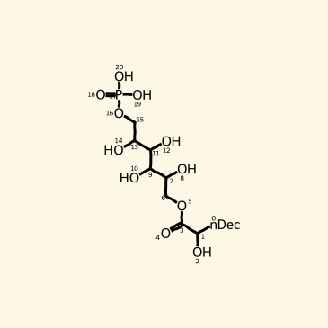 CCCCCCCCCCC(O)C(=O)OCC(O)C(O)C(O)C(O)COP(=O)(O)O